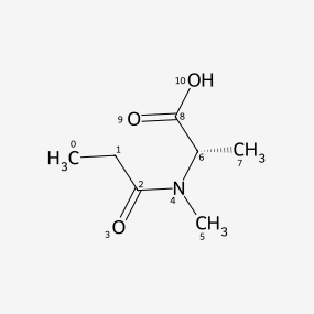 CCC(=O)N(C)[C@@H](C)C(=O)O